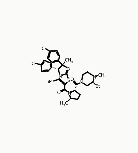 CC[C@H]1CN(C(=O)[C@@H]2CC[C@@H](C)N2C(=O)C2=C(C(C)C)N3C(=N[C@@](C)(c4ccc(Cl)cc4)[C@H]3c3ccc(Cl)cc3)S2)CCN1C